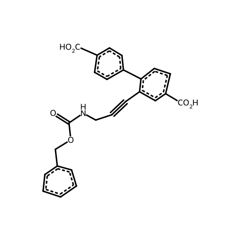 O=C(NCC#Cc1cc(C(=O)O)ccc1-c1ccc(C(=O)O)cc1)OCc1ccccc1